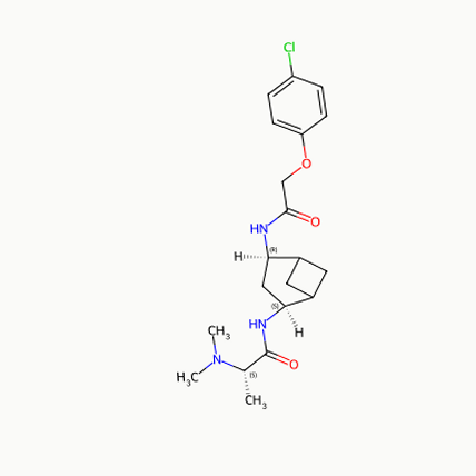 C[C@@H](C(=O)N[C@H]1C[C@@H](NC(=O)COc2ccc(Cl)cc2)C2CC1C2)N(C)C